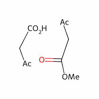 CC(=O)CC(=O)O.COC(=O)CC(C)=O